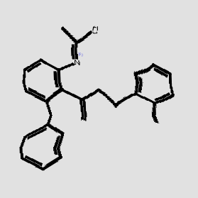 C=C(CCc1ccccc1C)c1c(/N=C(\C)Cl)cccc1-c1ccccc1